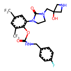 O=C(NCc1ccc(F)cc1)Oc1c(N2CCN(CC3(O)CNC3)C2=O)cc(C(F)(F)F)cc1C(F)(F)F